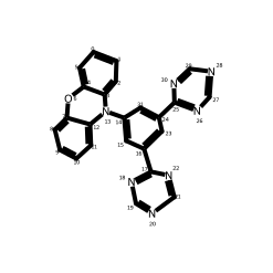 c1ccc2c(c1)Oc1ccccc1N2c1cc(-c2ncncn2)cc(-c2ncncn2)c1